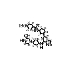 CC1CN(c2ccc(Nc3nc(-c4cccc(NC(=O)c5ccc(C(C)(C)C)cc5)c4)cn4ccnc34)cc2)CCN1